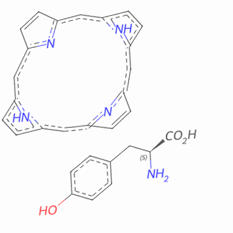 C1=Cc2cc3ccc(cc4nc(cc5ccc(cc1n2)[nH]5)C=C4)[nH]3.N[C@@H](Cc1ccc(O)cc1)C(=O)O